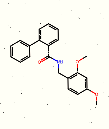 COc1ccc(CNC(=O)c2ccccc2-c2ccccc2)c(OC)c1